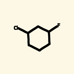 FC1CCCC(Cl)C1